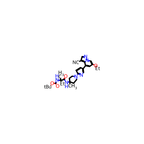 CCOc1cc(-c2ccc(N3CCC(C)(NC(=O)[C@@](C)(CC)NC(=O)OC(C)(C)C)CC3)nc2)c2c(C#N)cnn2c1